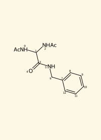 CC(=O)NC(NC(C)=O)C(=O)NCc1ccccc1